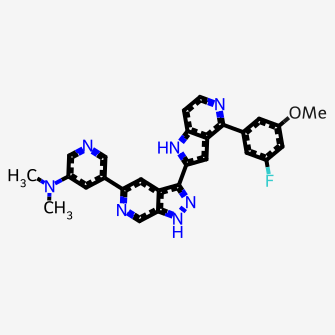 COc1cc(F)cc(-c2nccc3[nH]c(-c4n[nH]c5cnc(-c6cncc(N(C)C)c6)cc45)cc23)c1